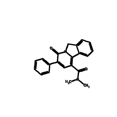 CN(C)C(=O)c1cc(-c2ccccc2)c(=O)n2c1-c1ccccc1C2